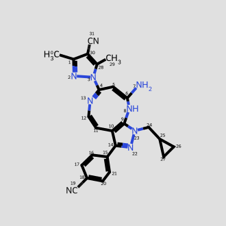 Cc1nn(-c2cc(N)[nH]c3c(ccn2)c(-c2ccc(C#N)cc2)nn3CC2CC2)c(C)c1C#N